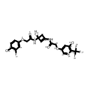 CC1(NC(=O)COc2ccc(Cl)c(F)c2)C=C(NC(=O)COc2cnc(C(F)(F)F)c(Cl)c2)C1